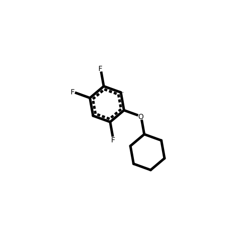 Fc1[c]c(OC2CCCCC2)c(F)cc1F